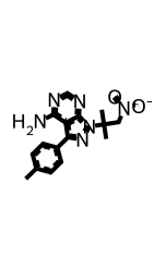 Cc1ccc(-c2nn(C(C)(C)C[N+](=O)[O-])c3ncnc(N)c23)cc1